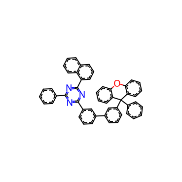 c1ccc(-c2nc(-c3cccc(-c4cccc(C5(c6ccccc6)c6ccccc6Oc6ccccc65)c4)c3)nc(-c3cccc4ccccc34)n2)cc1